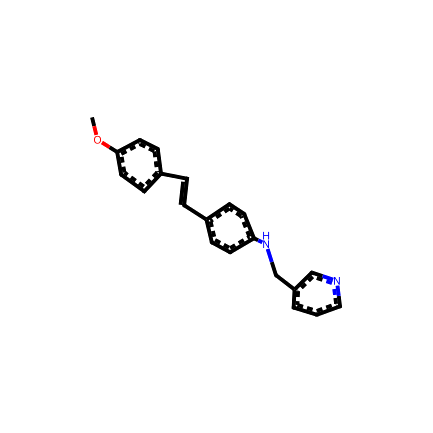 COc1ccc(/C=C/c2ccc(NCc3cccnc3)cc2)cc1